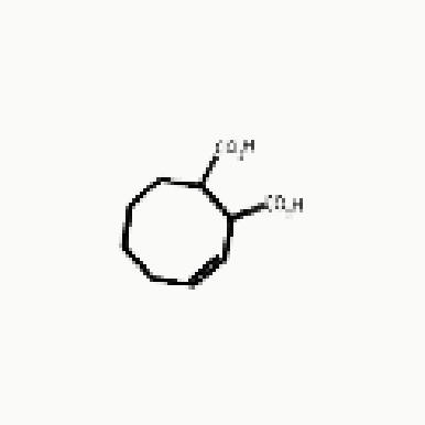 O=C(O)C1/C=C\CCCCC1C(=O)O